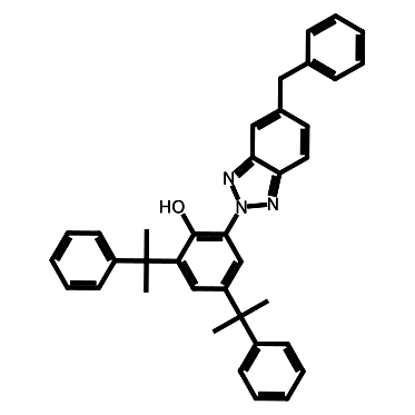 CC(C)(c1ccccc1)c1cc(-n2nc3ccc(Cc4ccccc4)cc3n2)c(O)c(C(C)(C)c2ccccc2)c1